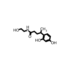 CC(CCC(=O)NCCO)c1ccc(O)cc1O